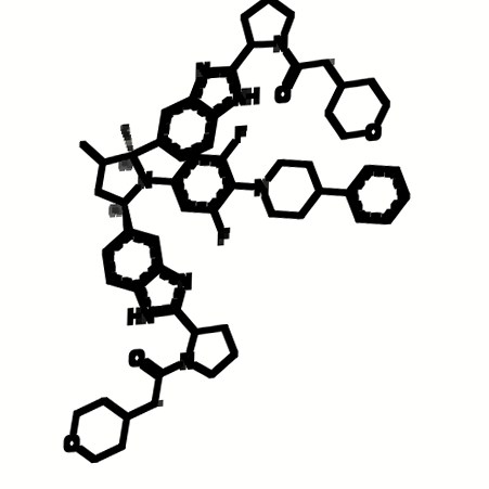 CC1C[C@H](c2ccc3[nH]c(C4CCCN4C(=O)[CH]C4CCOCC4)nc3c2)N(c2cc(F)c(N3CCC(c4ccccc4)CC3)c(F)c2)[C@]1(C)c1ccc2[nH]c(C3CCCN3C(=O)[CH]C3CCOCC3)nc2c1